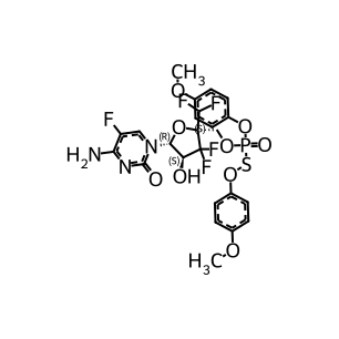 COc1ccc(OSP(=O)(OC[C@@]2(C(F)F)O[C@@H](n3cc(F)c(N)nc3=O)[C@H](O)C2(F)F)Oc2ccc(OC)cc2)cc1